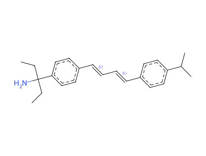 CCC(N)(CC)c1ccc(/C=C/C=C/c2ccc(C(C)C)cc2)cc1